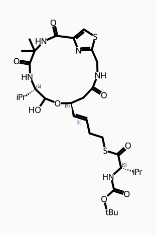 CC(C)[C@@H]1NC(=O)C(C)(C)NC(=O)c2csc(n2)CNC(=O)C[C@@H](/C=C/CCSC(=O)[C@@H](NC(=O)OC(C)(C)C)C(C)C)OC1O